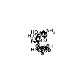 C[C@H](O)[C@]1(C)C[C@@](CF)(COP(=O)(O)OP(=O)(O)OP(=O)(O)O)O[C@H]1n1ccc(N)nc1=O